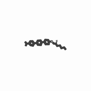 CCCCC[C@H](F)COc1ccc(-c2ccc(-c3ccc(C(C)C)cc3)cc2)cc1